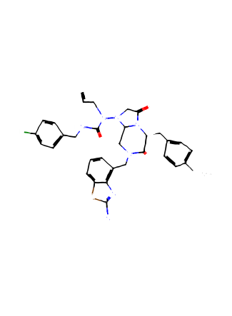 C=CCN(C(=O)NCc1ccc(F)cc1)N1CC(=O)N2C1CN(Cc1cccc3sc(N)nc13)C(=O)[C@@H]2Cc1ccc(OC)cc1